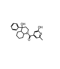 Cc1cc(C(=O)N2CCC(O)(c3ccccc3)C3CCCCC32)cc(O)n1